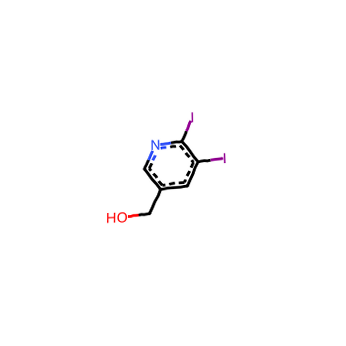 OCc1cnc(I)c(I)c1